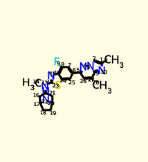 Cc1cn2nc(-c3cc(F)c4nc(N(C)C5CC6CCC(C5)N6)sc4c3)cc(C)c2n1